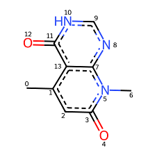 Cc1cc(=O)n(C)c2nc[nH]c(=O)c12